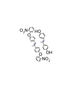 C/C(=C\c1ccc(O)cc1)c1ccc(O)cc1.C/C(=C\c1ccc(Oc2ccccc2[N+](=O)[O-])cc1)c1ccc(Oc2ccccc2[N+](=O)[O-])cc1